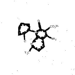 Nc1c(C(=O)O)c(=O)n(-c2ccccc2Cl)c2nc(C(F)(F)F)ccc12